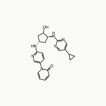 O=c1ccccn1-c1ccc(N[C@@H]2CC(O)[C@@H](Nc3ncc(C4CC4)cn3)C2)nc1